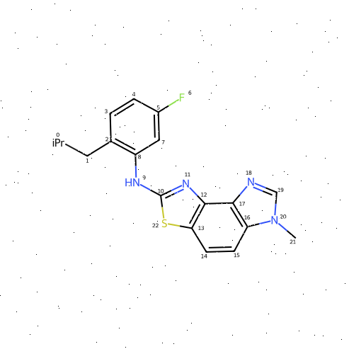 CC(C)Cc1ccc(F)cc1Nc1nc2c(ccc3c2ncn3C)s1